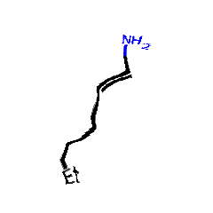 [CH2]CCC/C=C/N